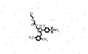 Cc1ccc(C)c(CC2=NC(COC(=O)COCCCl)NN2c2ccc(S(N)(=O)=O)cc2F)c1